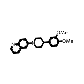 COc1ccc(C2CCN(c3ccc4ncc[c]c4c3)CC2)cc1OC